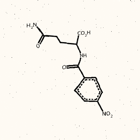 NC(=O)CCC(NC(=O)c1ccc([N+](=O)[O-])cc1)C(=O)O